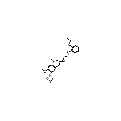 CCOc1ccccc1OCCN[C@H](CSC)Cc1ccc(OC)c(N2OSO2)c1